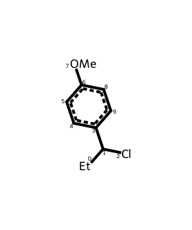 CCC(Cl)c1ccc(OC)cc1